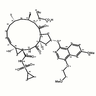 COCCOc1cnc(O[C@@H]2C[C@H]3C(=O)N[C@]4(C(=O)NS(=O)(=O)C5CC5)C[C@H]4/C=C\CC[C@H](C)C[C@@H](C)[C@H](N(C(=O)O)C(C)(C)C)C(=O)N3C2)c2ccc(OC)cc12